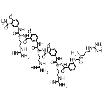 COc1ccc(NC(=O)[C@@H](CCCNC(=N)N)NC(=O)c2cc(NC(=O)[C@@H](CCCNC(=N)N)NC(=O)c3cc(NC(=O)[C@@H](CCCNC(=N)N)NC(=O)c4cccc(NC(=O)[C@H](N)CCCNC(=N)N)c4)ccc3OC)ccc2OC)cc1C(N)=O